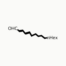 CCCCCCCCCCCC=CC=CC=O